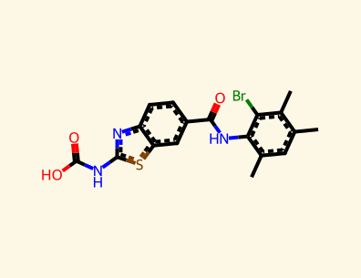 Cc1cc(C)c(NC(=O)c2ccc3nc(NC(=O)O)sc3c2)c(Br)c1C